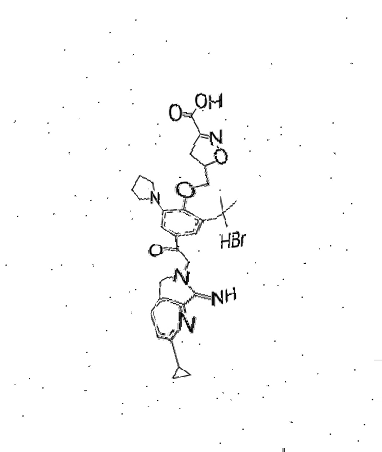 Br.CC(C)(C)c1cc(C(=O)CN2Cc3ccc(C4CC4)nc3C2=N)cc(N2CCCC2)c1OCC1CC(C(=O)O)=NO1